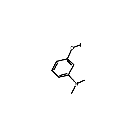 CN(C)c1cccc(OI)c1